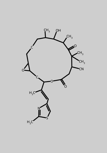 C/C(=C\c1csc(C)n1)C1CC2OC2CCCC(C)C(O)C(C)C(=O)C(C)(C)C(C#N)CC(=O)O1